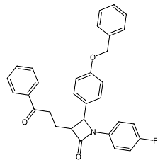 O=C(CCC1C(=O)N(c2ccc(F)cc2)C1c1ccc(OCc2ccccc2)cc1)c1ccccc1